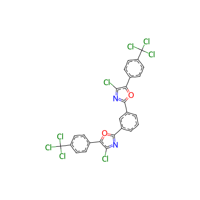 Clc1nc(-c2cccc(-c3nc(Cl)c(-c4ccc(C(Cl)(Cl)Cl)cc4)o3)c2)oc1-c1ccc(C(Cl)(Cl)Cl)cc1